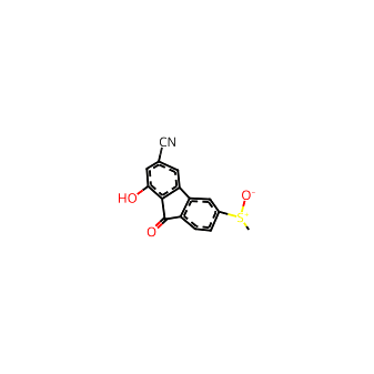 C[S+]([O-])c1ccc2c(c1)-c1cc(C#N)cc(O)c1C2=O